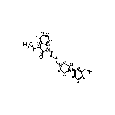 CCn1c(=O)n(CCCCN2CCN(c3cccc(CF)c3)CC2)c2ccccc21